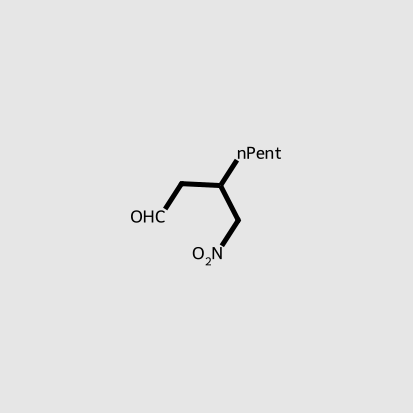 CCCCCC(CC=O)C[N+](=O)[O-]